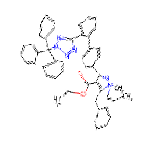 CCC[N+]1(C)N=C(c2ccc(-c3ccccc3-c3nnn(C(c4ccccc4)(c4ccccc4)c4ccccc4)n3)cc2)C(C(=O)OCC)=C1Cc1ccccc1